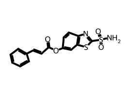 NS(=O)(=O)c1nc2ccc(OC(=O)C=Cc3ccccc3)cc2s1